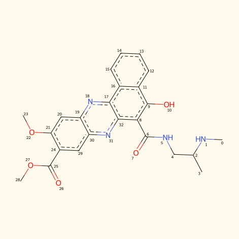 CNC(C)CNC(=O)c1c(O)c2ccccc2c2nc3cc(OC)c(C(=O)OC)cc3nc12